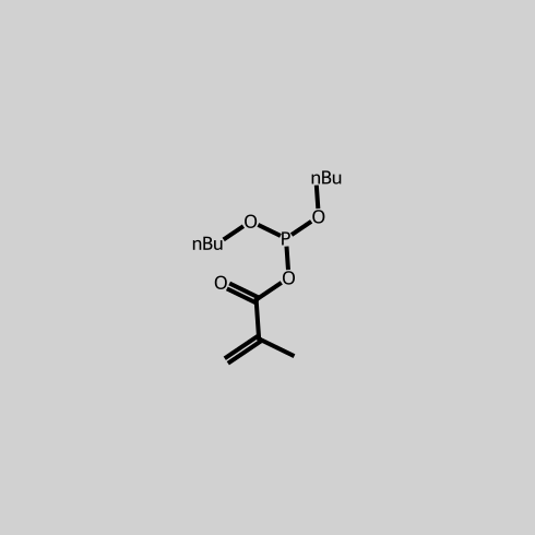 C=C(C)C(=O)OP(OCCCC)OCCCC